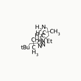 CCC(C)(CC(C)(C)CN)n1cc(C(C)(C)CC(C)(C)C)nn1